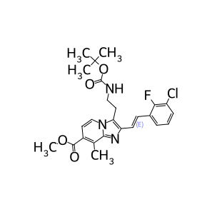 COC(=O)c1ccn2c(CCNC(=O)OC(C)(C)C)c(/C=C/c3cccc(Cl)c3F)nc2c1C